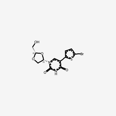 O=c1[nH]c(=O)n([C@@H]2CO[C@H](CO)O2)cc1-c1ccc(Br)s1